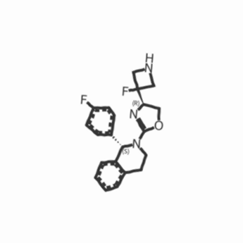 Fc1ccc([C@H]2c3ccccc3CCN2C2=N[C@@H](C3(F)CNC3)CO2)cc1